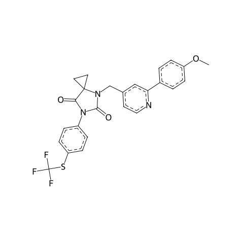 COc1ccc(-c2cc(CN3C(=O)N(c4ccc(SC(F)(F)F)cc4)C(=O)C34CC4)ccn2)cc1